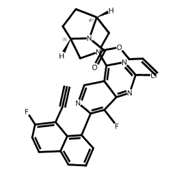 C#Cc1c(F)ccc2cccc(-c3ncc4c(N5C[C@H]6CC[C@@H](C5)N6C(=O)OCC=C)nc(Cl)nc4c3F)c12